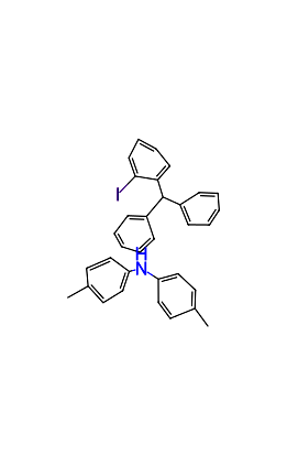 Cc1ccc(Nc2ccc(C)cc2)cc1.Ic1ccccc1C(c1ccccc1)c1ccccc1